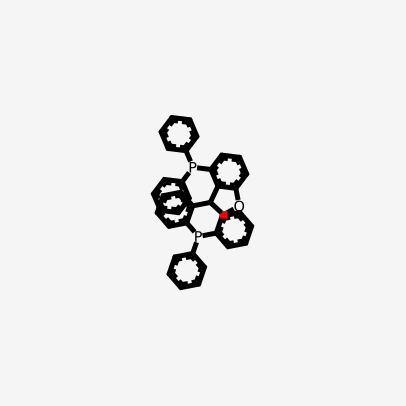 c1ccc(P(c2ccccc2)c2ccccc2C2COc3cccc(P(c4ccccc4)c4ccccc4)c32)cc1